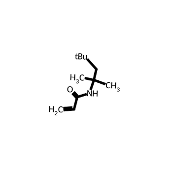 C=CC(=O)NC(C)(C)CC(C)(C)C